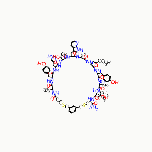 CCC[C@@H]1NC(=O)[C@H](Cc2c[nH]c3ncccc23)NC(=O)[C@H]([C@@H](C)O)NC(=O)[C@H](Cc2c[nH]cn2)NC(=O)[C@H](Cc2ccc(O)cc2)NC(=O)[C@H](C(C)(C)C)NC(=O)CCSCc2cccc(c2)CSC[C@H](C(N)=O)NC(=O)[C@H](C(C)(C)O)NC(=O)[C@H](CCC)NC(=O)[C@H](Cc2ccc(O)cc2)NC(=O)[C@H](CCC(=O)O)NC1=O